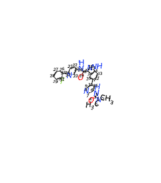 CN(C)C(=O)Nc1cncc(-c2ccc3[nH]nc(C(=O)Nc4ccc(-c5ccccc5F)nc4)c3c2)c1